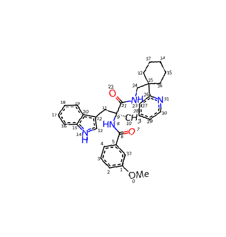 COc1cccc(C(=O)N[C@@](C)(Cc2c[nH]c3ccccc23)C(=O)NCC2(c3ccccn3)CCCCC2)c1